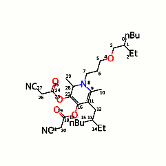 CCCCC(CC)COCCCN1C(C)=C(CC(CC)CCCC)C(OC(=O)CC#N)=C(OC(=O)CC#N)C1C